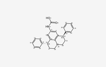 O=C(O)Nc1cc2c3c(n1)[C@@H](c1ccccc1)CCN3CC[C@@H]2c1ccccc1